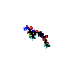 CNC(=O)c1csc2c(C(F)(F)F)cc(OC3CC4(C3)CN(C(=O)OCCOC(F)(F)F)C4)nc12